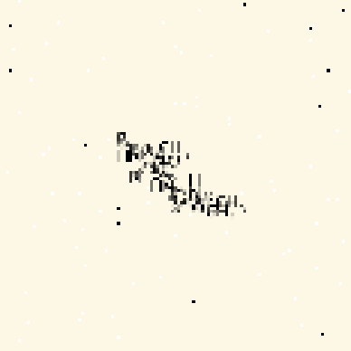 CCn1c(=C(C#N)C(=O)NCCF)sc(=CNc2cccc(NC(=O)CN(C)C)c2)c1=O